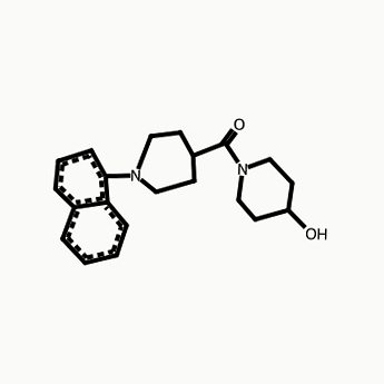 O=C(C1CCN(c2cccc3ccccc23)CC1)N1CCC(O)CC1